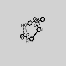 Cc1ccoc1C(=O)Nc1cccc(C#Cc2cncc(C(=O)N=S(=O)(CC(=O)N3CCC(O)CC3)c3ccccc3)c2)c1